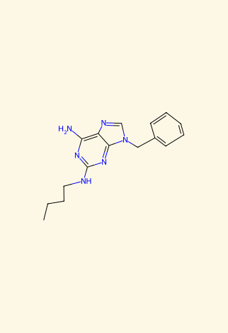 CCCCNc1nc(N)c2ncn(Cc3ccccc3)c2n1